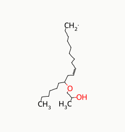 [CH2]CCCCCCC/C=C\CC(CCCCCC)OCC(C)O